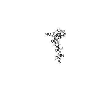 C=C/C=C(\N=C)NCCC(=O)Nc1ccc(C(=O)NC[C@H](NC(=O)c2c(Cl)cccc2Cl)C(=O)O)cc1